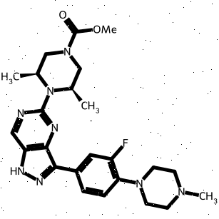 COC(=O)N1C[C@@H](C)N(c2ncc3[nH]nc(-c4ccc(N5CCN(C)CC5)c(F)c4)c3n2)[C@@H](C)C1